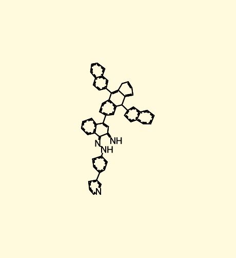 N=C1C=C(c2ccc3c(c2)C(c2ccc4ccccc4c2)C2=CC=CCC2=C3c2ccc3ccccc3c2)c2ccccc2/C1=N/Nc1ccc(-c2cccnc2)cc1